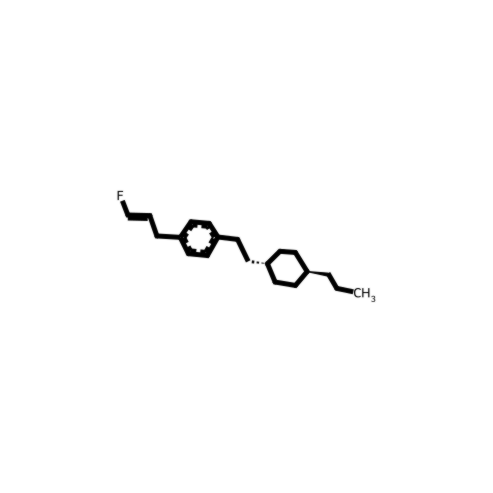 CCC[C@H]1CC[C@H](CCc2ccc(C/C=C/F)cc2)CC1